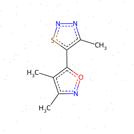 Cc1nnsc1-c1onc(C)c1C